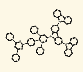 c1ccc(-c2nc(-c3ccccc3)nc(-c3ccc(-c4c(-c5ccccc5)cc(-n5c6ccc(-n7c8ccccc8c8ccccc87)cc6c6cc(-n7c8ccccc8c8ccccc87)ccc65)cc4-c4ccccc4)cc3)n2)cc1